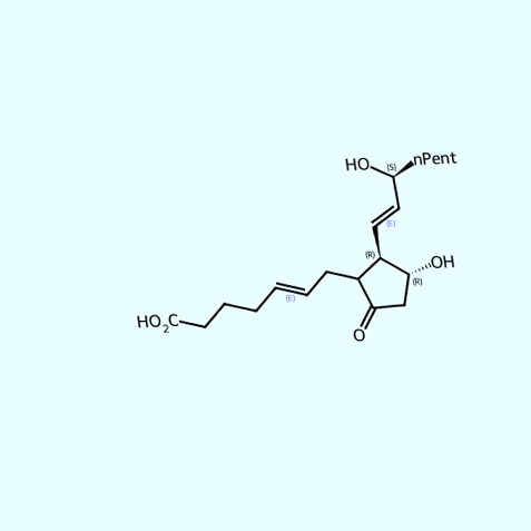 CCCCC[C@H](O)/C=C/[C@@H]1C(C/C=C/CCCC(=O)O)C(=O)C[C@H]1O